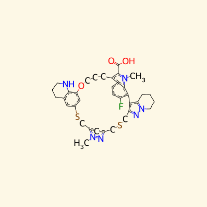 Cn1nc2cc1CSc1cc3c(c(c1)OCCCc1c(C(=O)O)n(C)c4c(c(F)ccc14)-c1c(nn4c1CCCC4)CSC2)NCCC3